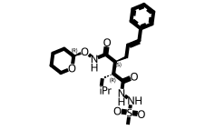 CC(C)C[C@@H](C(=O)NNS(C)(=O)=O)[C@H](CC=Cc1ccccc1)C(=O)NO[C@@H]1CCCCO1